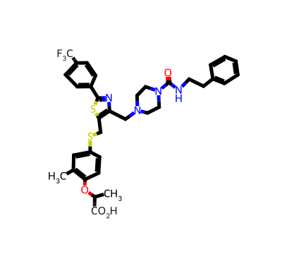 Cc1cc(SCc2sc(-c3ccc(C(F)(F)F)cc3)nc2CN2CCN(C(=O)NCCc3ccccc3)CC2)ccc1OC(C)C(=O)O